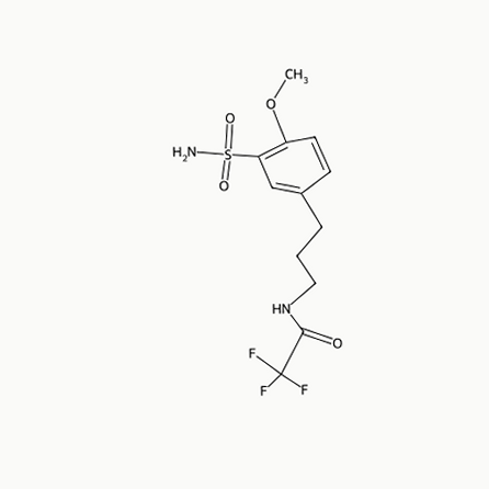 COc1ccc(CCCNC(=O)C(F)(F)F)cc1S(N)(=O)=O